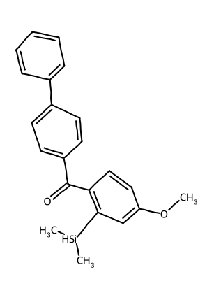 COc1ccc(C(=O)c2ccc(-c3ccccc3)cc2)c([SiH](C)C)c1